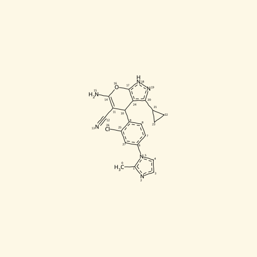 Cc1nccn1-c1ccc(C2C(C#N)=C(N)Oc3[nH]nc(C4CC4)c32)c(Cl)c1